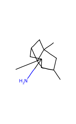 CC1(N)C=C2CC3(C)CC(C)(CC23)C1